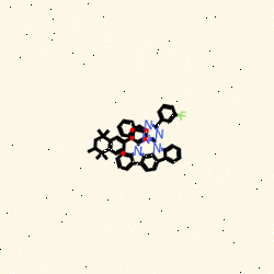 CC1CC(C)(C)c2cc(-c3ccccc3-n3c4ccccc4c4ccc5c6ccccc6n(-c6nc(-c7ccccc7)nc(-c7cccc(F)c7)n6)c5c43)ccc2C1(C)C